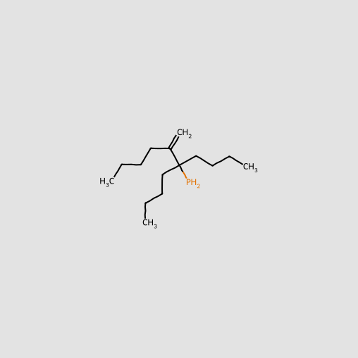 C=C(CCCC)C(P)(CCCC)CCCC